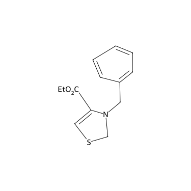 CCOC(=O)C1=CSCN1Cc1ccccc1